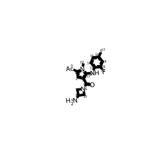 CC(=O)c1cc(C(=O)N2CC(N)C2)c(Nc2ccc(I)cc2F)n1C